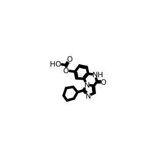 O=C(O)Oc1ccc2[nH]c(=O)c3cnc(C4CCCCC4)n3c2c1